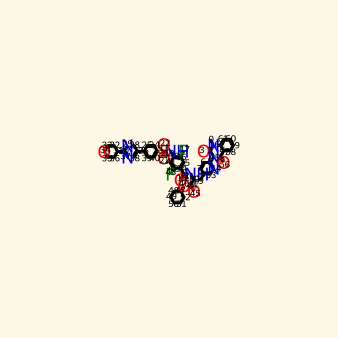 Cn1c(=O)n(-c2ccc(C[C@H](NC(=O)c3cc(F)c(NS(=O)(=O)c4ccc(-c5cnc(C6CCOCC6)nc5)cc4)cc3F)C(=O)OC3CCCCC3)cn2)c(=O)c2ccccc21